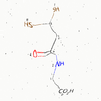 O=C(O)CNC(=O)CC(S)S